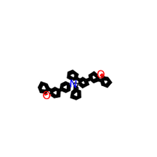 c1ccc(B2c3ccc(-c4ccc5oc6ccccc6c5c4)cc3-c3ccccc3N2c2ccc(-c3ccc4oc5ccccc5c4c3)cc2)cc1